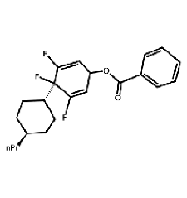 CCC[C@H]1CC[C@H](C2(F)C(F)=CC(OC(=O)c3ccccc3)C=C2F)CC1